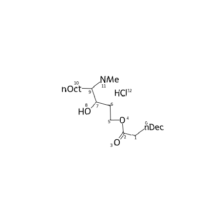 CCCCCCCCCCCC(=O)OCCC(O)C(CCCCCCCC)NC.Cl